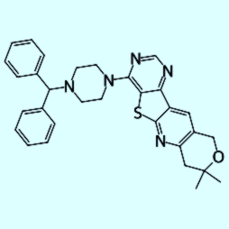 CC1(C)Cc2nc3sc4c(N5CCN(C(c6ccccc6)c6ccccc6)CC5)ncnc4c3cc2CO1